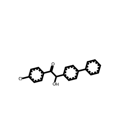 O=C(c1ccc(Cl)cc1)C(O)c1ccc(-c2ccccc2)cc1